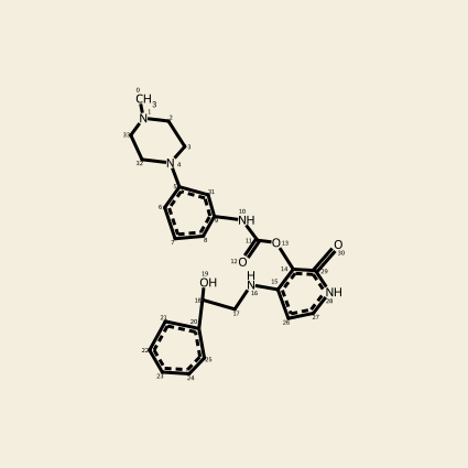 CN1CCN(c2cccc(NC(=O)Oc3c(NCC(O)c4ccccc4)cc[nH]c3=O)c2)CC1